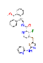 COCc1ccccc1[C@@H](CNC(=O)c1nccc(Sc2cnc(Nc3ccccn3)s2)c1F)c1ccccc1